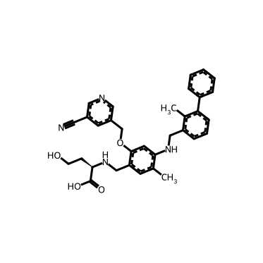 Cc1cc(CN[C@H](CCO)C(=O)O)c(OCc2cncc(C#N)c2)cc1NCc1cccc(-c2ccccc2)c1C